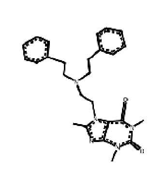 Cc1nc2c(c(=O)n(C)c(=O)n2C)n1CCN(CCc1ccccc1)CCc1ccccc1